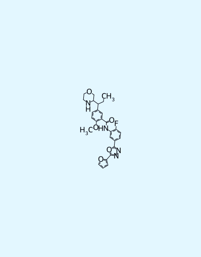 CCC(c1ccc(OC)c(C(=O)Nc2cc(-c3nnc(-c4ccco4)o3)ccc2F)c1)C1COCCN1